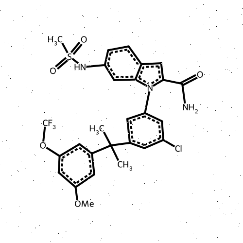 COc1cc(OC(F)(F)F)cc(C(C)(C)c2cc(Cl)cc(-n3c(C(N)=O)cc4ccc(NS(C)(=O)=O)cc43)c2)c1